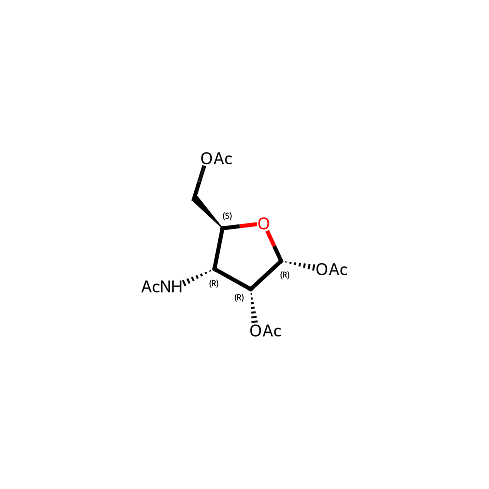 CC(=O)N[C@H]1[C@@H](OC(C)=O)[C@@H](OC(C)=O)O[C@@H]1COC(C)=O